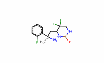 C[C@@](N)(CC1N[S+]([O-])NCC1(F)F)c1ccccc1F